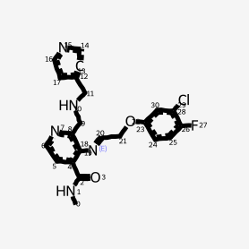 CNC(=O)c1ccnc(CNCc2ccncc2)c1/N=C/COc1ccc(F)c(Cl)c1